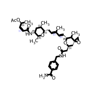 CC(=O)O[C@@H](C)/C=C\C(=O)N[C@@H]1C[C@H](C)[C@H](C/C=C(C)/C=C/[C@H]2O[C@H](CC(=O)NCc3ccc(C(N)=O)cc3)C[C@@]3(CO3)C2C)O[C@@H]1C